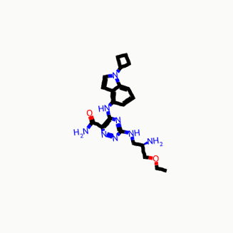 CCOC[C@H](N)CNc1nnc(C(N)=O)c(Nc2cccc3c2ccn3C2CCC2)n1